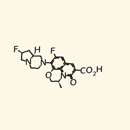 C[C@H]1COc2c(N3CCN4C[C@@H](F)C[C@H]4C3)c(F)cc3cc(C(=O)O)c(=O)n1c23